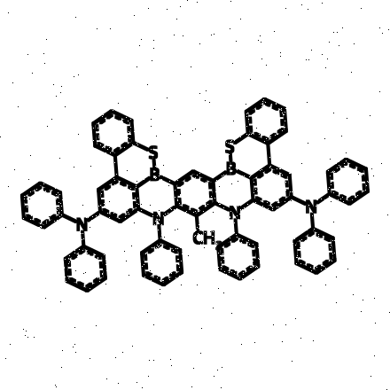 Cc1c2c(cc3c1N(c1ccccc1)c1cc(N(c4ccccc4)c4ccccc4)cc4c1B3Sc1ccccc1-4)B1Sc3ccccc3-c3cc(N(c4ccccc4)c4ccccc4)cc(c31)N2c1ccccc1